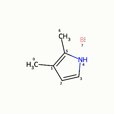 Cc1cc[nH]c1C.[B]